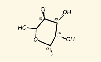 C[C@@H]1OC(O)[C@@H](Cl)[C@H](O)[C@@H]1O